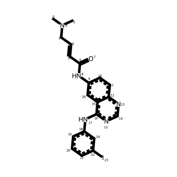 CN(C)CC=CC(=O)Nc1ccc2ncnc(Nc3cccc(I)c3)c2c1